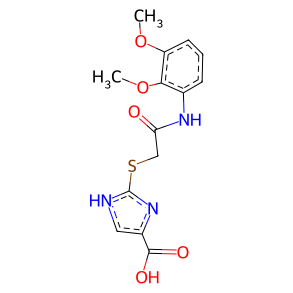 COc1cccc(NC(=O)CSc2nc(C(=O)O)c[nH]2)c1OC